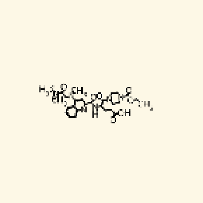 CCOC(=O)N1CCN(C(=O)C(CCC(=O)O)NC(=O)c2cc(N(C)CC(=O)N(C)C)c3ccccc3n2)CC1